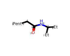 CCCC(C)CC(=O)NC(CC)CC